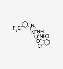 O=C(NC(=O)c1c(Cl)cccc1Cl)Nc1cnc(-c2cccc(C(F)(F)F)c2)cn1